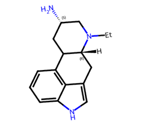 CCN1C[C@@H](N)CC2c3cccc4[nH]cc(c34)C[C@H]21